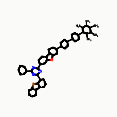 Bc1c(B)c(B)c(-c2ccc(-c3ccc(-c4ccc5c(c4)oc4cc(-c6nc(-c7ccccc7)nc(-c7cccc8c7sc7ccccc78)n6)ccc45)cc3)cc2)c(B)c1B